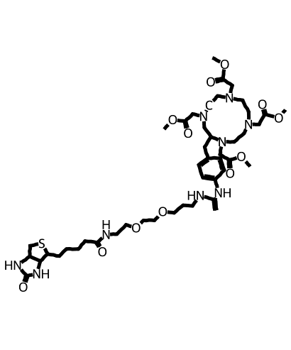 C=C(NCCCOCCOCCNC(=O)CCCCC1SCC2NC(=O)NC21)Nc1ccc(CC2CN(CC(=O)OC)CCN(CC(=O)OC)CCN(CC(=O)OC)CCN2CC(=O)OC)cc1